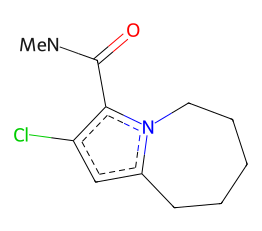 CNC(=O)c1c(Cl)cc2n1CCCCC2